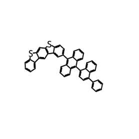 c1ccc(-c2ccc(-c3c4ccccc4c(-c4ccc5sc6cc7sc8ccccc8c7cc6c5c4)c4ccccc34)c3ccccc23)cc1